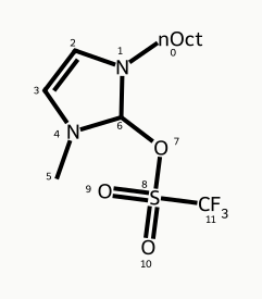 CCCCCCCCN1C=CN(C)C1OS(=O)(=O)C(F)(F)F